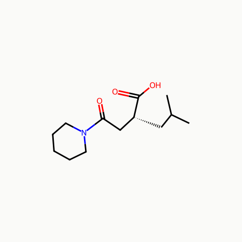 CC(C)C[C@H](CC(=O)N1CCCCC1)C(=O)O